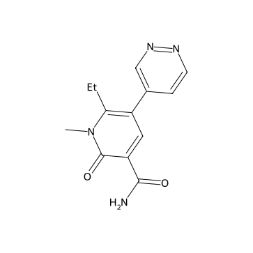 CCc1c(-c2ccnnc2)cc(C(N)=O)c(=O)n1C